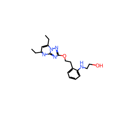 CCc1cc(CC)n2nc(OCCc3ccccc3NCCO)nc2n1